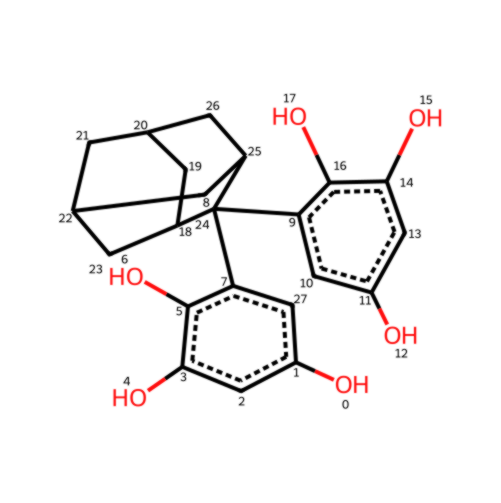 Oc1cc(O)c(O)c(C2(c3cc(O)cc(O)c3O)C3CC4CC(C3)CC2C4)c1